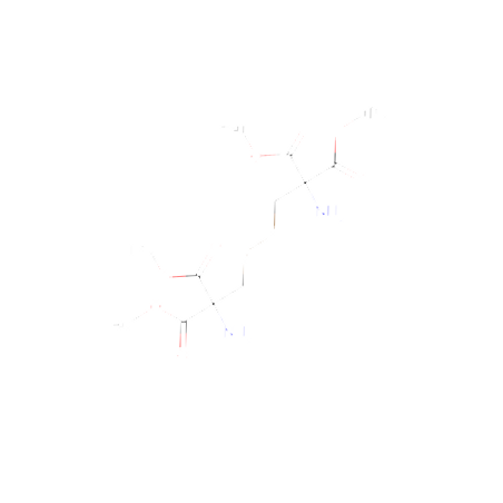 CC(C)(C)OC(=O)C(N)(CSSCC(N)(C(=O)OC(C)(C)C)C(=O)OC(C)(C)C)C(=O)OC(C)(C)C